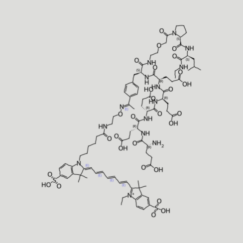 CCNC(=O)[C@H](CC(C)C)NC(=O)[C@@H]1CCCN1C(=O)COCCNC(=O)[C@H](Cc1ccc(/C(C)=N/OCCNC(=O)CCCCCN2/C(=C/C=C/C=C/C=C/C3=[N+](CC)c4ccc(S(=O)(=O)O)cc4C3(C)C)C(C)(C)c3cc(S(=O)(=O)O)ccc32)cc1)NC(=O)[C@@H](CCC(=O)O)NC(=O)[C@@H](CCC(=O)O)NC(=O)[C@@H](CCC(=O)O)NC(=O)[C@@H](CCC(=O)O)NC(=O)[C@H](N)CCC(=O)O